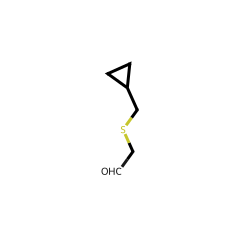 O=CCSCC1CC1